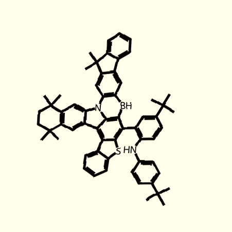 CC(C)(C)c1ccc(Nc2ccc(C(C)(C)C)cc2-c2c3c4c(c5cc6c(cc5n4-c4cc5c(cc4B3)-c3ccccc3C5(C)C)C(C)(C)CCC6(C)C)c3c2sc2ccccc23)cc1